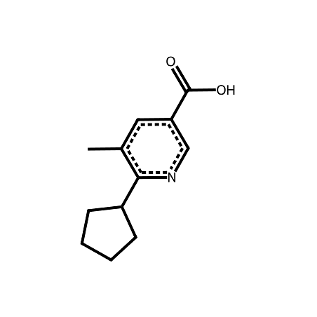 Cc1cc(C(=O)O)cnc1C1CCCC1